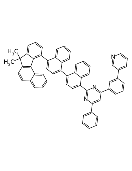 CC1(C)c2cccc(-c3ccc(-c4ccc(-c5nc(-c6ccccc6)cc(-c6cccc(-c7cccnc7)c6)n5)c5ccccc45)c4ccccc34)c2-c2c1ccc1ccccc21